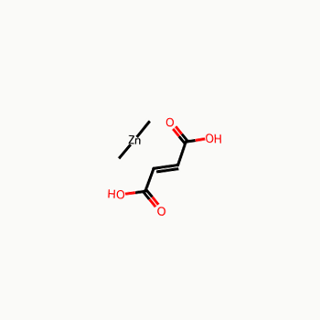 O=C(O)/C=C/C(=O)O.[CH3][Zn][CH3]